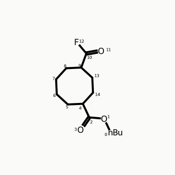 CCCCOC(=O)C1CCCCC(C(=O)F)CC1